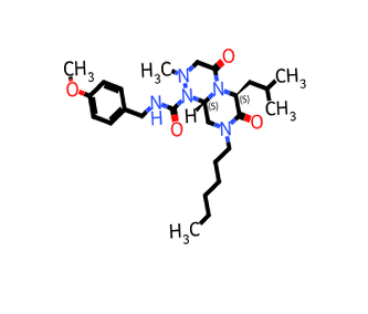 CCCCCCN1C[C@H]2N(C(=O)CN(C)N2C(=O)NCc2ccc(OC)cc2)[C@@H](CC(C)C)C1=O